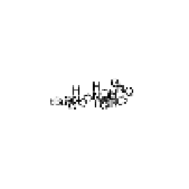 CC(C)(C)OC(=O)N[C@H]1CCc2cc(NC(=O)[C@H](O)[C@H]3OCCN(c4ccc(F)c(C(=O)N5CCOCC5)c4)C3=O)ccc21